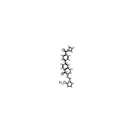 CC1CCCN1CCN1CCc2cc(-c3ccc(C(=O)N4CCC4)cc3)ccc2C1=O